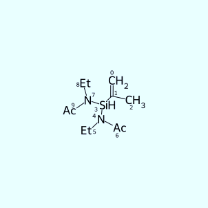 C=C(C)[SiH](N(CC)C(C)=O)N(CC)C(C)=O